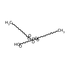 CCCCCCCCCCCCCCCCCC(=O)OCOC(=O)C(CCCCCCCCC(=O)O)COC(=O)CCCCCCCCCCCCCCCCC